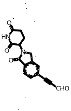 O=CC#Cc1ccc2c(c1)CN(C1CCC(=O)NC1=O)C2=O